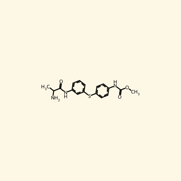 COC(=O)Nc1ccc(Sc2cccc(NC(=O)C(C)N)c2)cc1